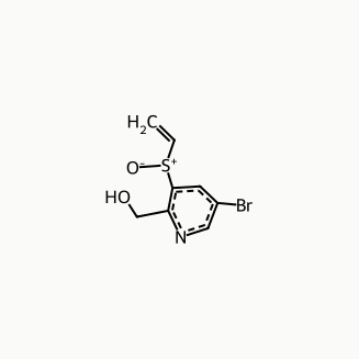 C=C[S+]([O-])c1cc(Br)cnc1CO